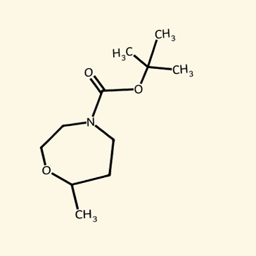 CC1CCN(C(=O)OC(C)(C)C)CCO1